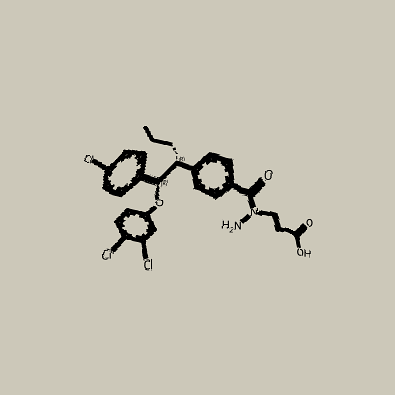 CCC[C@H](c1ccc(C(=O)N(N)CCC(=O)O)cc1)[C@@H](Oc1ccc(Cl)c(Cl)c1)c1ccc(Cl)cc1